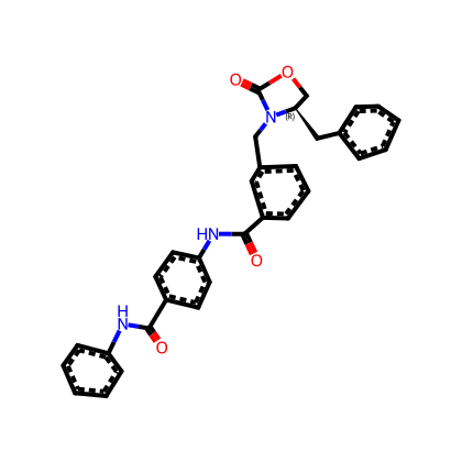 O=C(Nc1ccccc1)c1ccc(NC(=O)c2cccc(CN3C(=O)OC[C@H]3Cc3ccccc3)c2)cc1